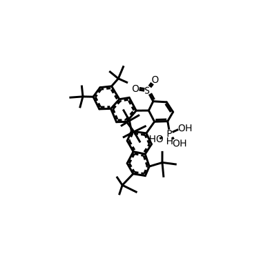 CC(C)(C)c1cc(C(C)(C)C)c2cc(C3=C([PH](O)(O)O)C=CC(=S(=O)=O)C3c3cc4c(C(C)(C)C)cc(C(C)(C)C)cc4cc3C(C)(C)C)c(C(C)(C)C)cc2c1